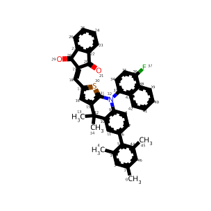 Cc1cc(C)c(-c2ccc3c(c2)C(C)(C)c2cc(C=C4C(=O)c5ccccc5C4=O)sc2N3c2ccc(F)c3ccccc23)c(C)c1